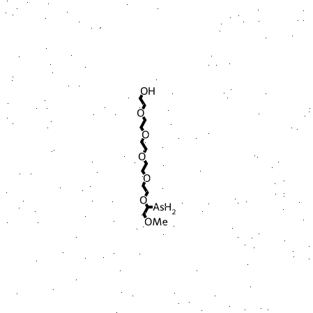 COCC([AsH2])OCCOCCOCCOCCOCCO